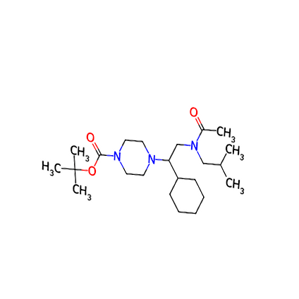 CC(=O)N(CC(C)C)CC(C1CCCCC1)N1CCN(C(=O)OC(C)(C)C)CC1